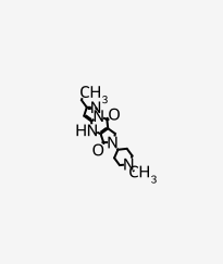 CCc1cc2[nH]c3c(c(=O)n2n1)CN(C1CCN(C)CC1)C3=O